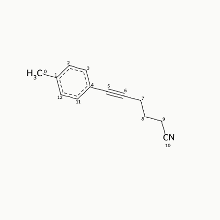 Cc1ccc(C#CCCCC#N)cc1